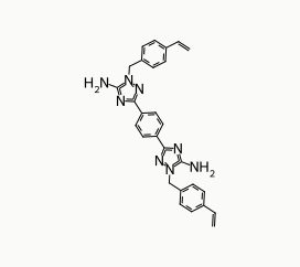 C=Cc1ccc(Cn2nc(-c3ccc(-c4nc(N)n(Cc5ccc(C=C)cc5)n4)cc3)nc2N)cc1